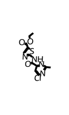 CCOC(=O)c1cnc(NC(=O)c2cc(Cl)nc(C)n2)s1